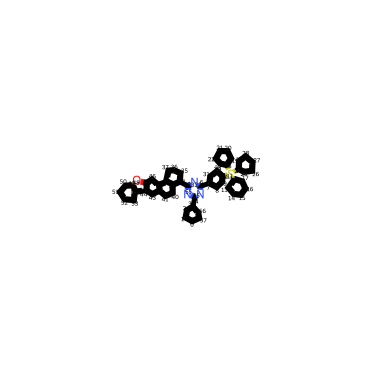 c1ccc(-c2nc(-c3ccc(S(c4ccccc4)(c4ccccc4)c4ccccc4)cc3)nc(-c3cccc4c3ccc3cc5c(cc34)oc3ccccc35)n2)cc1